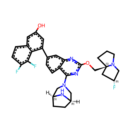 Oc1cc(-c2ccc3c(N4C[C@H]5CC[C@@H](C4)N5)nc(OC[C@@]45CCCN4C[C@H](F)C5)nc3c2)c2c(F)c(F)ccc2c1